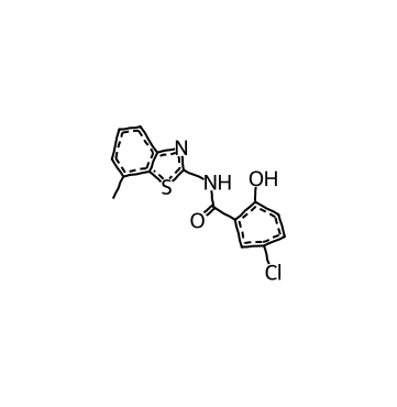 Cc1cccc2nc(NC(=O)c3cc(Cl)ccc3O)sc12